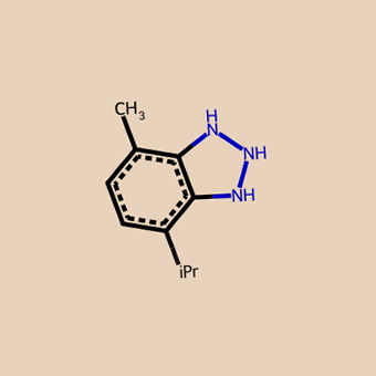 Cc1ccc(C(C)C)c2c1NNN2